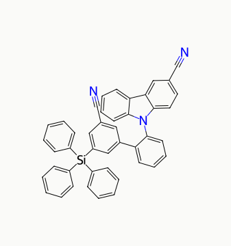 N#Cc1cc(-c2ccccc2-n2c3ccccc3c3cc(C#N)ccc32)cc([Si](c2ccccc2)(c2ccccc2)c2ccccc2)c1